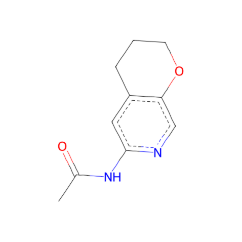 CC(=O)Nc1cc2c(cn1)OCCC2